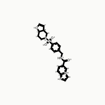 O=C(NCc1ccc(S(=O)(=O)N2CCC3OC=CC3C2)cc1)c1ccc2nccn2c1